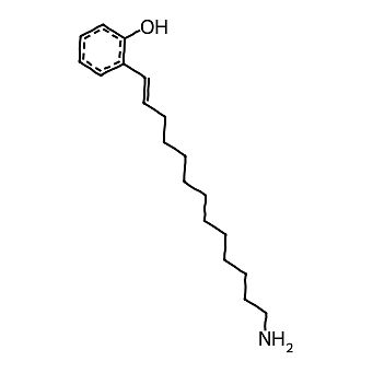 NCCCCCCCCCCCC=Cc1ccccc1O